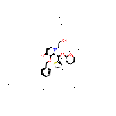 O=c1ccn(CCO)c(C(OC2CCCCO2)c2cccs2)c1OCc1ccccc1